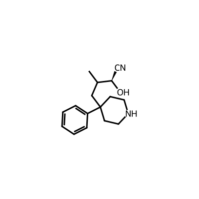 CC(CC1(c2ccccc2)CCNCC1)[C@H](O)C#N